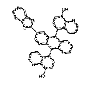 Oc1ccc(-c2c3ccccc3c(-c3ccc(O)c4ncccc34)c3cc(-c4nc5ccccc5o4)ccc23)c2cccnc12